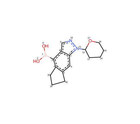 OB(O)c1c2c(cc3c1cnn3C1CCCCO1)CCC2